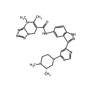 CC1=C(C(=O)Nc2ccc3[nH]nc(-c4cc(N5CCN(C)[C@@H](C)C5)ncn4)c3c2)Cn2nnnc2N1C